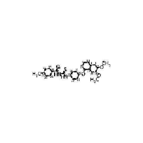 COc1cc2ncnc(Oc3ccc(NC(=S)NC(=O)c4ccc(C)cc4)cc3)c2cc1OC